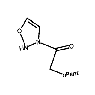 CCCCCCC(=O)N1C=CON1